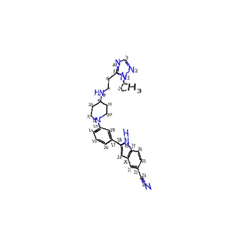 Cn1ncnc1CCNC1CCN(c2cccc(-c3cc4cc(C#N)ccc4[nH]3)c2)CC1